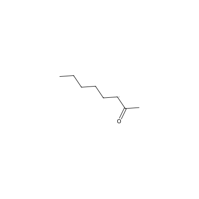 CCCCC[CH]C(C)=O